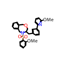 COc1cccc(-c2cccc(CC3COCc4ccccc4CN3S(=O)(=O)c3ccccc3OC)c2)n1